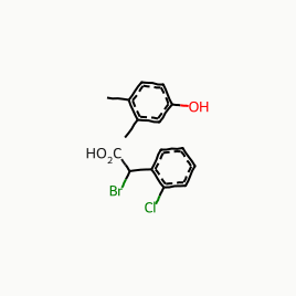 Cc1ccc(O)cc1C.O=C(O)C(Br)c1ccccc1Cl